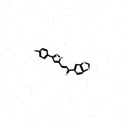 O=C(C=Cc1cc(-c2ccc(F)cc2)n[nH]1)c1ccc2c(c1)OCO2